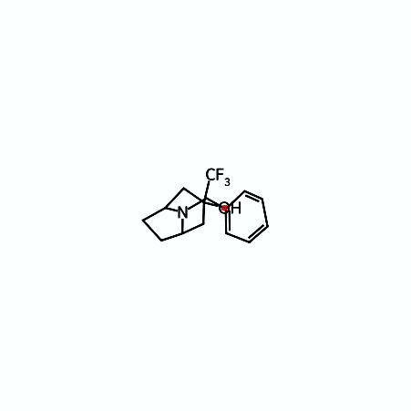 OC1(C(F)(F)F)CC2CCC(C1)N2Cc1ccccc1